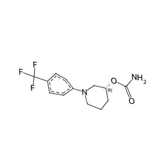 NC(=O)O[C@@H]1CCCN(c2ccc(C(F)(F)F)cc2)C1